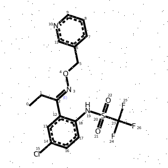 CC/C(=N\OCc1cccnc1)c1cc(Cl)ccc1NS(=O)(=O)C(F)(F)F